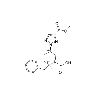 COC(=O)c1cnn([C@@H]2CC[C@](C)(Cc3ccccc3)N(C(=O)O)C2)n1